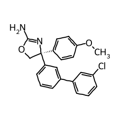 COc1ccc([C@]2(c3cccc(-c4cccc(Cl)c4)c3)COC(N)=N2)cc1